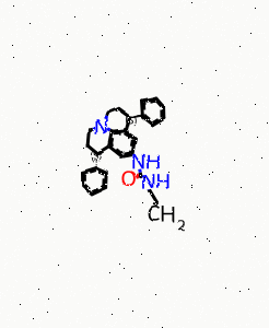 C=CCNC(=O)Nc1cc2c3c(c1)[C@H](c1ccccc1)CCN3CC[C@H]2c1ccccc1